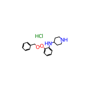 Cl.c1ccc(COOc2ccccc2NC2CCNCC2)cc1